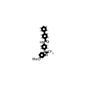 COc1ccc2c(c1)nc(C(F)(F)F)n2-c1ccc(NC(=O)c2ccc(-c3ccccc3)cc2)cc1